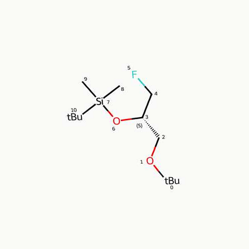 CC(C)(C)OC[C@@H](CF)O[Si](C)(C)C(C)(C)C